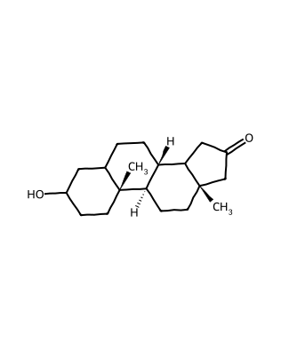 C[C@@]12CC[C@@H]3[C@H](CCC4CC(O)CC[C@]43C)C1CC(=O)C2